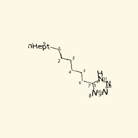 [CH2]CCCCCCCCCCCCc1nnn[nH]1